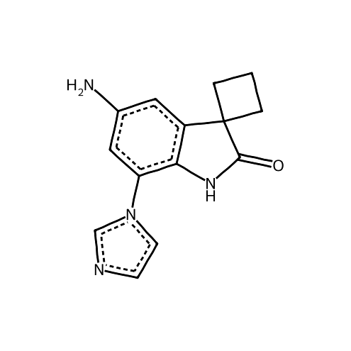 Nc1cc(-n2ccnc2)c2c(c1)C1(CCC1)C(=O)N2